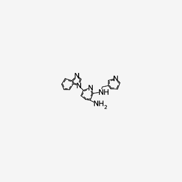 Nc1ccc(-n2cnc3ccccc32)nc1NCc1cccnc1